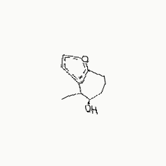 CC1c2ccoc2CC[C@H]1O